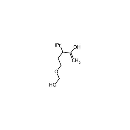 C=C(O)C(CCOCO)C(C)C